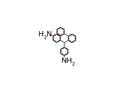 Nc1ccc(C(c2ccc(N)cc2)c2ccccc2-c2ccccc2)cc1